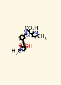 Cc1ccc(-c2cc(C(=O)O)nc(-c3cccc(C#CC4(O)CCN(C)C4=O)c3)n2)cn1